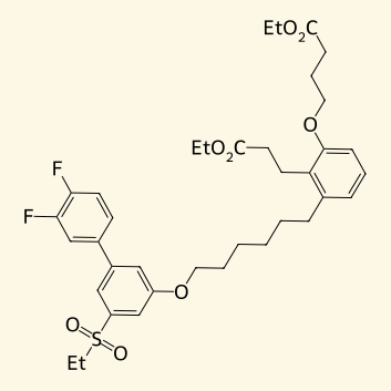 CCOC(=O)CCCOc1cccc(CCCCCCOc2cc(-c3ccc(F)c(F)c3)cc(S(=O)(=O)CC)c2)c1CCC(=O)OCC